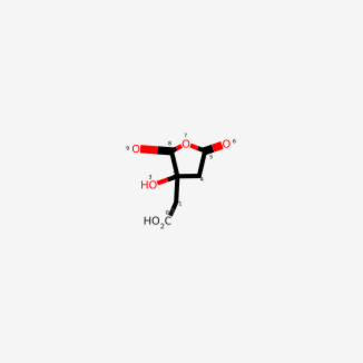 O=C(O)CC1(O)CC(=O)OC1=O